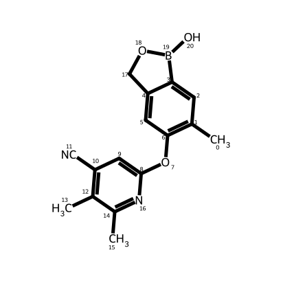 Cc1cc2c(cc1Oc1cc(C#N)c(C)c(C)n1)COB2O